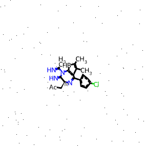 CC(=N)N1C(=N)[C@H](CC(C)=O)N=C(c2ccc(Cl)cc2)C2=C1BC(C)=C2C